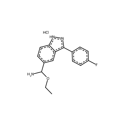 CCOC(N)c1ccc2[nH]nc(-c3ccc(F)cc3)c2c1.Cl